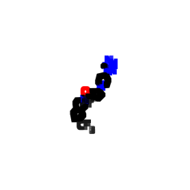 CC(C)[C@]1(C(=O)N2CCc3ccc(C(F)(F)F)cc3C2)CCC(N2CCC(n3cnnn3)CC2)C1